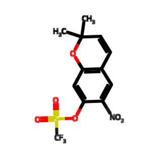 CC1(C)C=Cc2cc([N+](=O)[O-])c(OS(=O)(=O)C(F)(F)F)cc2O1